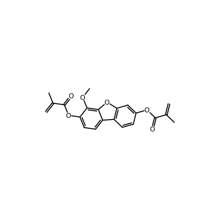 C=C(C)C(=O)Oc1ccc2c(c1)oc1c(OC)c(OC(=O)C(=C)C)ccc12